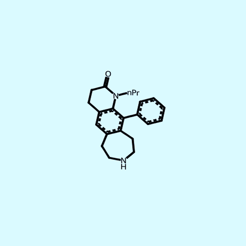 CCCN1C(=O)CCc2cc3c(c(-c4ccccc4)c21)CCNCC3